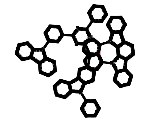 c1ccc(-c2nc(-c3cccc(-n4c5ccccc5c5ccccc54)c3)nc(-c3cccc(-n4c5ccccc5c5ccc6c7ccccc7n(-c7cccc(-c8ccc9c(c8)c8ccccc8n9-c8ccccc8)n7)c6c54)c3)n2)cc1